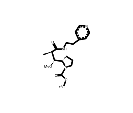 CO[C@H]([C@@H](C)C(=O)NCCc1ccncc1)[C@@H]1CCCN1C(=O)OC(C)(C)C